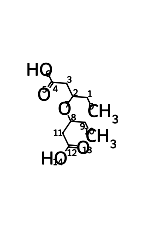 CCC(CC(=O)O)OC(CC)CC(=O)O